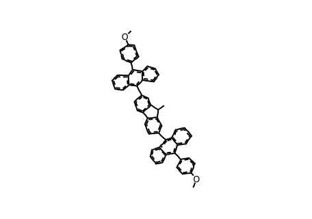 COc1ccc(-c2c3ccccc3c(-c3ccc4c(c3)C(C)c3cc(-c5c6ccccc6c(-c6ccc(OC)cc6)c6ccccc56)ccc3-4)c3ccccc23)cc1